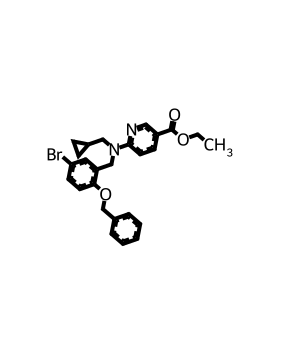 CCOC(=O)c1ccc(N(Cc2cc(Br)ccc2OCc2ccccc2)CC2CC2)nc1